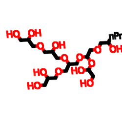 CCCC(O)COCC(OCC(COCC(O)CO)OCC(O)COCC(O)CO)OC(O)CO